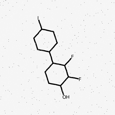 OC1CCC(C2CCC(I)CC2)C(F)C1F